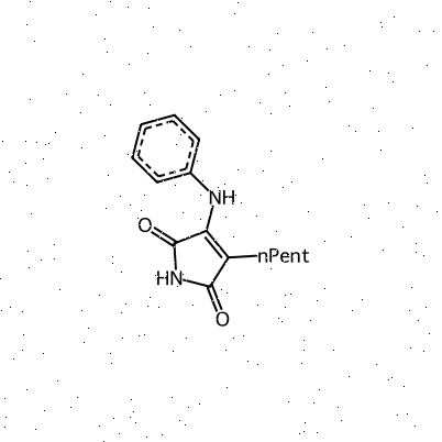 CCCCCC1=C(Nc2ccccc2)C(=O)NC1=O